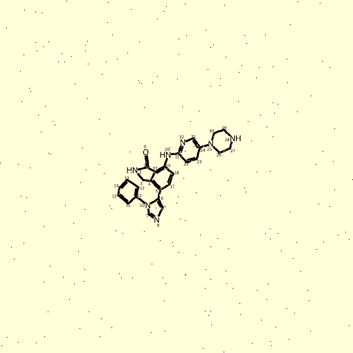 O=C1NCc2c(-c3cncn3-c3ccccc3)ccc(Nc3ccc(N4CCNCC4)cn3)c21